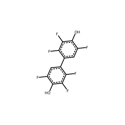 Oc1c(F)cc(-c2cc(F)c(O)c(F)c2F)c(F)c1F